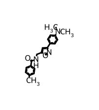 Cc1ccc(C(=O)NCc2cc(-c3ccc(N(C)C)cc3)no2)cc1